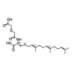 CC(C)=CCC/C(C)=C/CC/C(C)=C/CSC[C@H](NC(=O)COCC(=O)O)C(=O)O